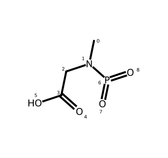 CN(CC(=O)O)P(=O)=O